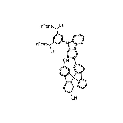 CCCCCC(CC)c1cc(C(CC)CCCCC)cc(-n2c3ccccc3c3cc(-c4ccc5c(c4)C4(c6ccccc6-5)c5cc(C#N)ccc5-c5ccc(C#N)cc54)ccc32)c1